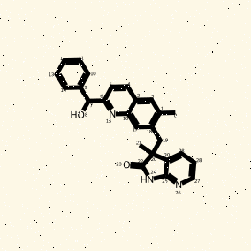 Cc1cc2ccc(C(O)c3ccccc3)nc2cc1CC1(C)C(=O)Nc2ncccc21